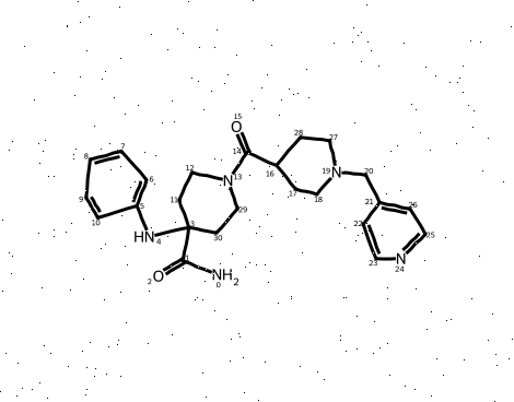 NC(=O)C1(Nc2ccccc2)CCN(C(=O)C2CCN(Cc3ccncc3)CC2)CC1